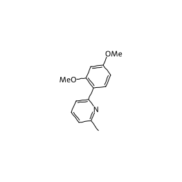 COc1ccc(-c2cccc(C)n2)c(OC)c1